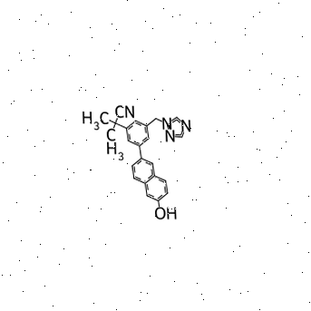 CC(C)(C#N)c1cc(Cn2cncn2)cc(-c2ccc3cc(O)ccc3c2)c1